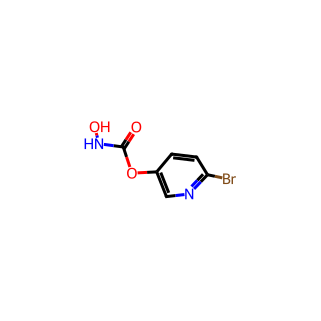 O=C(NO)Oc1ccc(Br)nc1